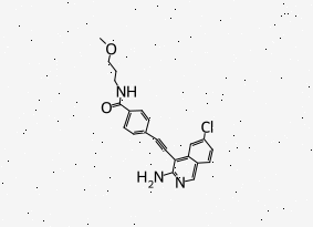 COCCCNC(=O)c1ccc(C#Cc2c(N)ncc3ccc(Cl)cc23)cc1